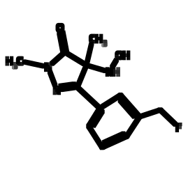 CN1N=C(c2cccc(CF)c2)C(C)(NO)C1=O